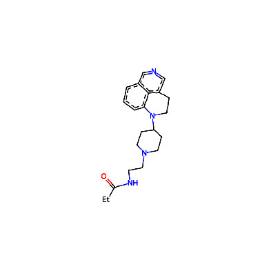 CCC(=O)NCCN1CCC(N2CCc3cncc4cccc2c34)CC1